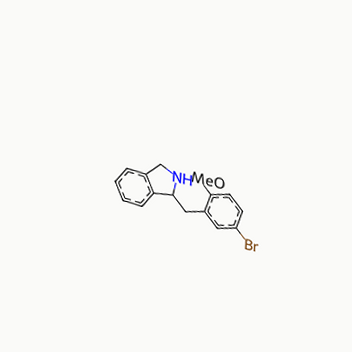 COc1ccc(Br)cc1CC1NCc2ccccc21